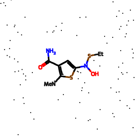 CCSN(O)c1cc(C(N)=O)c(NC)s1